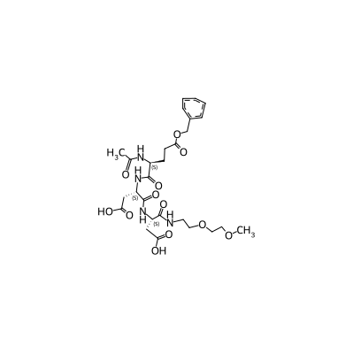 COCCOCCNC(=O)[C@H](CC(=O)O)NC(=O)[C@H](CC(=O)O)NC(=O)[C@H](CCC(=O)OCc1ccccc1)NC(C)=O